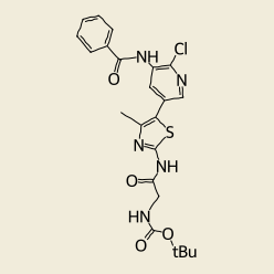 Cc1nc(NC(=O)CNC(=O)OC(C)(C)C)sc1-c1cnc(Cl)c(NC(=O)c2ccccc2)c1